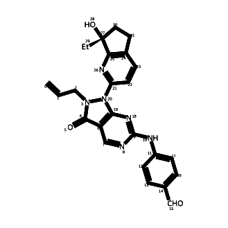 C=CCn1c(=O)c2cnc(Nc3ccc(C=O)cc3)nc2n1-c1ccc2c(n1)[C@@](O)(CC)CC2